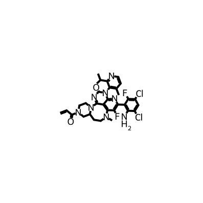 C=CC(=O)N1CCN2c3nc(=O)n(-c4c(C)ccnc4C(C)C)c4nc(-c5c(N)c(Cl)cc(Cl)c5F)c(F)c(c34)N(C)CCC2C1